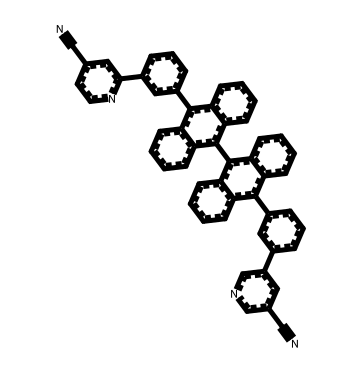 N#Cc1cncc(-c2cccc(-c3c4ccccc4c(-c4c5ccccc5c(-c5cccc(-c6cc(C#N)ccn6)c5)c5ccccc45)c4ccccc34)c2)c1